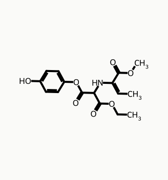 CC=C(NC(C(=O)OCC)C(=O)Oc1ccc(O)cc1)C(=O)OC